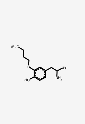 COCCCOc1cc(CC(N)C(C)C)ccc1O